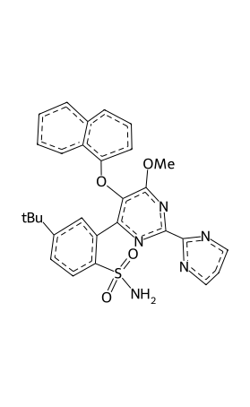 COc1nc(-c2ncccn2)nc(-c2cc(C(C)(C)C)ccc2S(N)(=O)=O)c1Oc1cccc2ccccc12